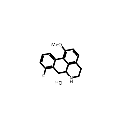 COc1ccc2c3c1-c1cccc(F)c1CC3NCC2.Cl